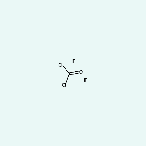 F.F.O=C(Cl)Cl